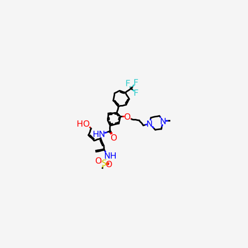 C=C(/C=C(\C=C/CO)NC(=O)c1ccc(C2=CCC=C(C(F)(F)F)C=C2)c(OCCCN2CCN(C)CC2)c1)NS(C)(=O)=O